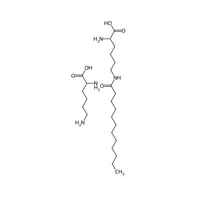 CCCCCCCCCCCC(=O)NCCCCC(N)C(=O)O.NCCCCC(N)C(=O)O